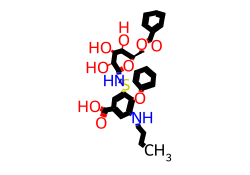 CCCCNc1cc(C(=O)O)cc(SNC2O[C@H](COC(=O)c3ccccc3)[C@@H](O)[C@H](O)[C@H]2O)c1Oc1ccccc1